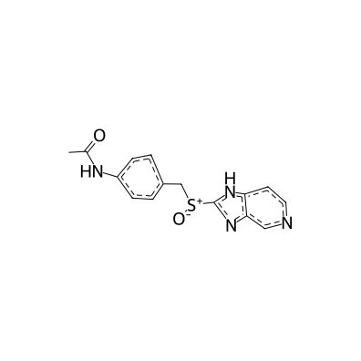 CC(=O)Nc1ccc(C[S+]([O-])c2nc3cnccc3[nH]2)cc1